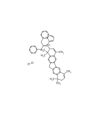 CC1=CCC(C)(C)c2cc3c(cc21)-c1cc2c(cc1C3)C(C)(C)[CH]([Zr+2]([C]1=CC=CC1)=[C](Cc1ccccc1)Cc1ccccc1)C=C2C.[Cl-].[Cl-]